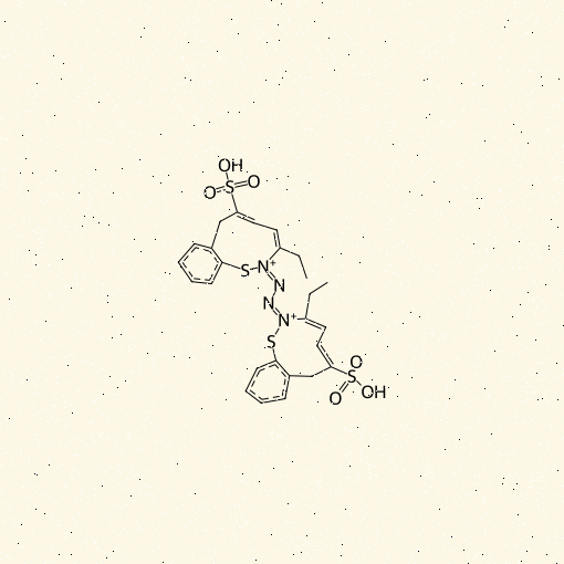 CC/C1=C/C=C(\S(=O)(=O)O)Cc2ccccc2S[N+]1=NN=[N+]1Sc2ccccc2C/C(S(=O)(=O)O)=C/C=C\1CC